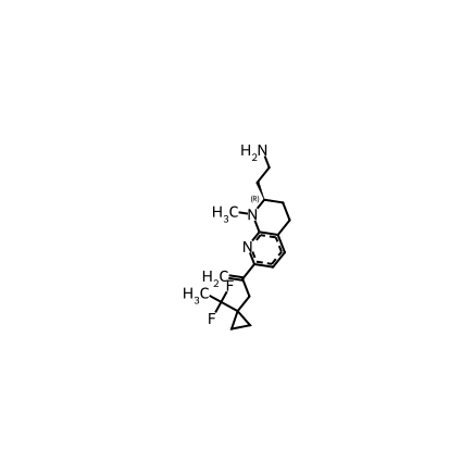 C=C(CC1(C(C)(F)F)CC1)c1ccc2c(n1)N(C)[C@@H](CCN)CC2